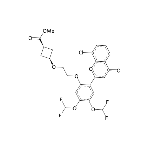 COC(=O)[C@H]1C[C@@H](OCCOc2cc(OC(F)F)c(OC(F)F)cc2-c2cc(=O)c3cccc(Cl)c3o2)C1